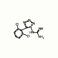 N=C(N)Nn1nnnc1-c1c(Cl)cccc1Cl